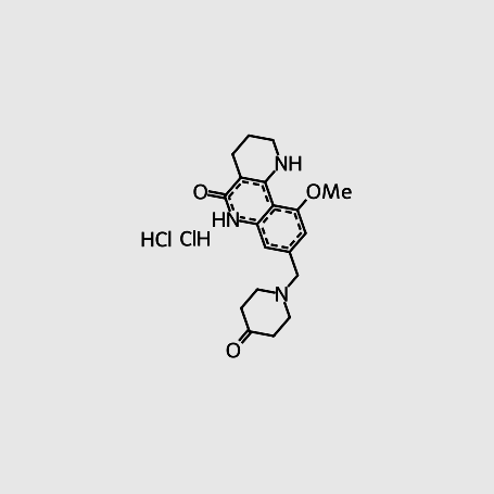 COc1cc(CN2CCC(=O)CC2)cc2[nH]c(=O)c3c(c12)NCCC3.Cl.Cl